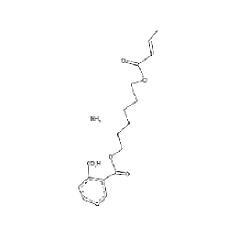 CC=CC(=O)OCCCCCCOC(=O)c1ccccc1C(=O)O.N